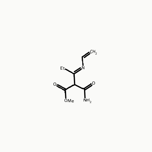 C=C/N=C(\CC)C(C(N)=O)C(=O)OC